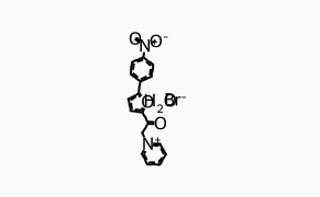 O.O=C(C[n+]1ccccc1)c1ccc(-c2ccc([N+](=O)[O-])cc2)o1.[Br-]